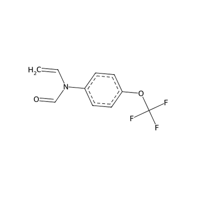 C=CN(C=O)c1ccc(OC(F)(F)F)cc1